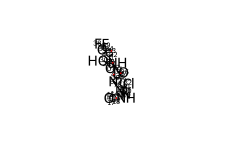 O=C(CN1Cc2ncc(-c3nc(NC4CCOCC4)ncc3Cl)cc2C1=O)NC(CO)c1cccc(OC(F)F)c1